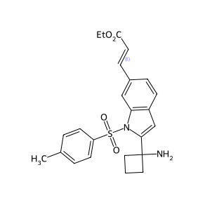 CCOC(=O)/C=C/c1ccc2cc(C3(N)CCC3)n(S(=O)(=O)c3ccc(C)cc3)c2c1